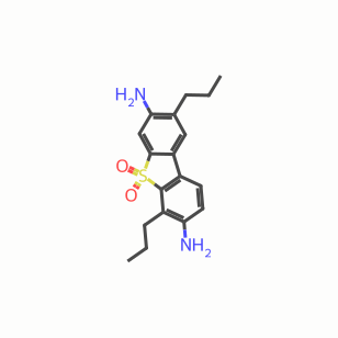 CCCc1cc2c(cc1N)S(=O)(=O)c1c-2ccc(N)c1CCC